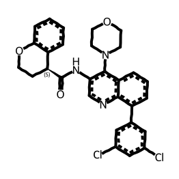 O=C(Nc1cnc2c(-c3cc(Cl)cc(Cl)c3)cccc2c1N1CCOCC1)[C@H]1CCOc2ccccc21